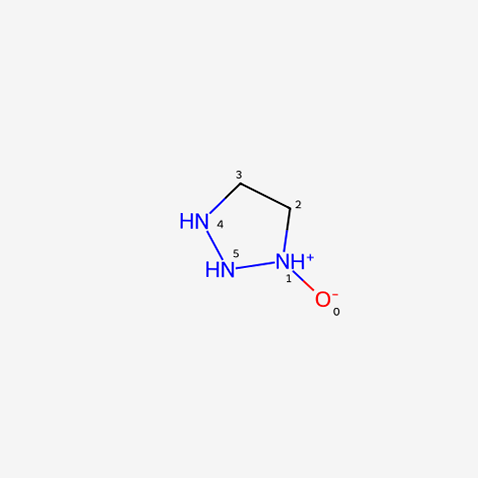 [O-][NH+]1CCNN1